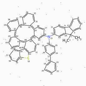 CC1(C)c2ccccc2-c2ccc(N(c3ccc(-c4ccccc4)cc3)c3ccc4c5ccccc5c5ccccc5c5ccccc5c5c(ccc6sc7ccccc7c65)c4c3)cc21